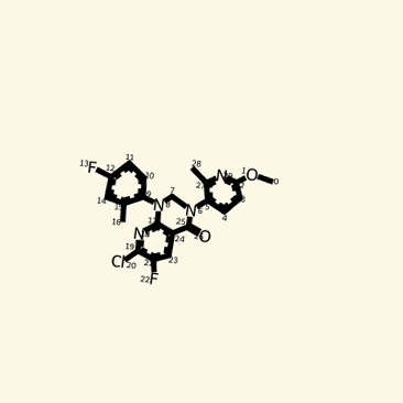 COc1ccc(N2CN(c3ccc(F)cc3C)c3nc(Cl)c(F)cc3C2=O)c(C)n1